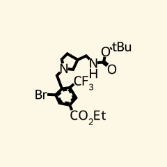 CCOC(=O)c1cc(Br)c(CN2CCC(CNC(=O)OC(C)(C)C)C2)c(C(F)(F)F)c1